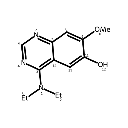 CCN(CC)c1ncnc2cc(OC)c(O)cc12